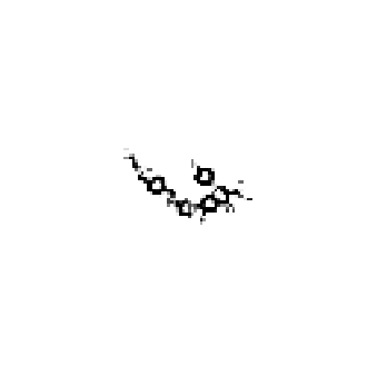 O=C(O)c1cn(-c2ccc(F)cc2)c2cc(N3CCC(N=Cc4ccc(CNCCO)cc4)C3)c(F)cc2c1=O